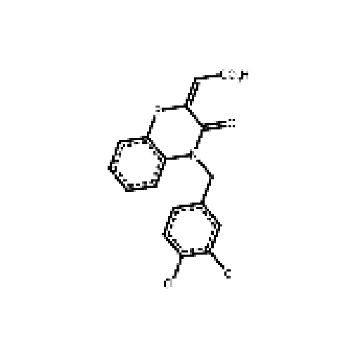 O=C(O)C=C1Sc2ccccc2N(Cc2ccc(Cl)c(Cl)c2)C1=O